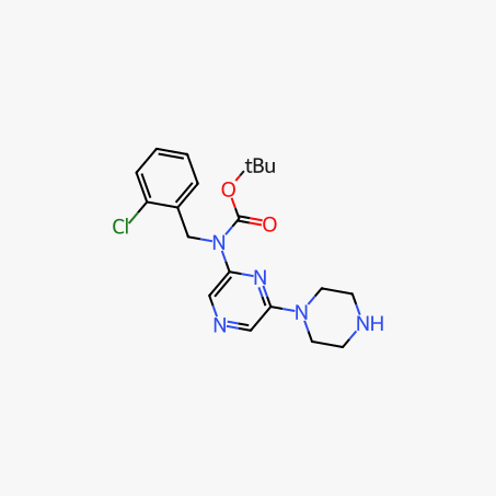 CC(C)(C)OC(=O)N(Cc1ccccc1Cl)c1cncc(N2CCNCC2)n1